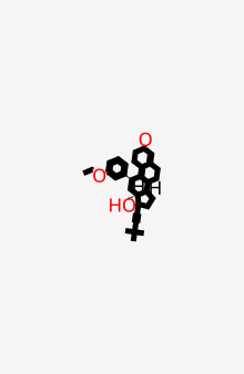 CCOc1cccc([C@H]2C[C@@]3(C)[C@@H](CC[C@@]3(O)C#CC(C)(C)C)[C@@H]3CCC4=CC(=O)CCC4=C32)c1